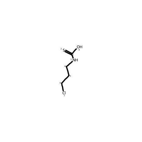 OC(=S)NCCCCl